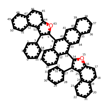 c1ccc(-c2c(-c3c4ccccc4c(-c4oc5ccc6ccccc6c5c4-c4ccccc4)c4cc5ccccc5cc34)oc3ccc4ccccc4c23)cc1